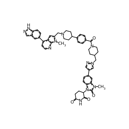 Cn1c(CN2CCC(c3ccc(C(=O)N4CCC(Cn5cc(-c6ccc7c(c6)n(C)c(=O)n7C6CCC(=O)NC6=O)cn5)CC4)cc3)CC2)cc2c(-c3ccc4[nH]ncc4c3)ccnc21